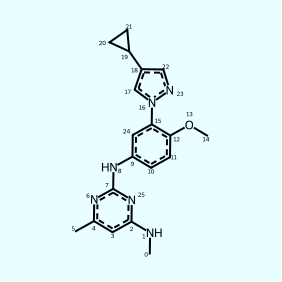 CNc1cc(C)nc(Nc2ccc(OC)c(-n3cc(C4CC4)cn3)c2)n1